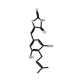 CC(C)=CCc1c(O)cc(C=C2SC(=O)NC2=O)cc1O